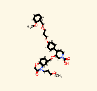 COCCCN1C(=O)COc2ccc(COC3CN(C(=O)O)CCC3c3ccc(OCCCOCc4ccccc4OC)cc3)cc21